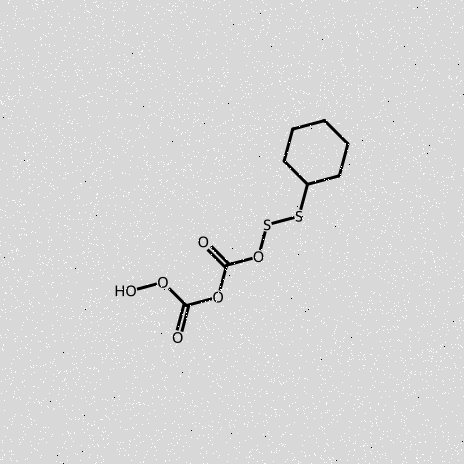 O=C(OO)OC(=O)OSSC1CCCCC1